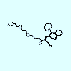 N#C/C(=C\c1ccc2ccccc2c1N1CCCCC1)C(=O)CCCOCCOCCO